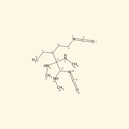 CCC(CCN=C=O)C(NC)(NC)C(N=C=O)NC